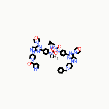 CN(C(=O)ON(C(=O)NCC1CC1)c1ccc(-c2nc(N3CCOCC3)c3cnn(C4CCN(Cc5ccccc5)CC4)c3n2)cc1)c1ccc(-c2nc(N3CCOCC3)c3cnn(C4CCN(C(=O)c5cccnc5)CC4)c3n2)cc1